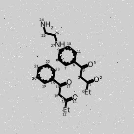 CCC(=O)CC(=O)c1ccccc1.CCC(=O)CC(=O)c1ccccc1.NCCN